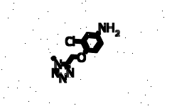 Cn1nnnc1COc1ccc(N)cc1Cl